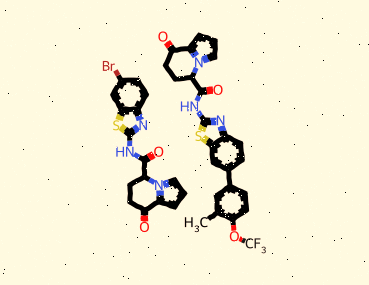 Cc1cc(-c2ccc3nc(NC(=O)C4CCC(=O)c5cccn54)sc3c2)ccc1OC(F)(F)F.O=C1CCC(C(=O)Nc2nc3ccc(Br)cc3s2)n2cccc21